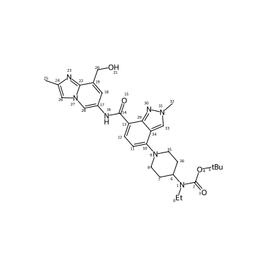 CCN(C(=O)OC(C)(C)C)C1CCN(c2ccc(C(=O)Nc3cc(CO)c4nc(C)cn4c3)c3nn(C)cc23)CC1